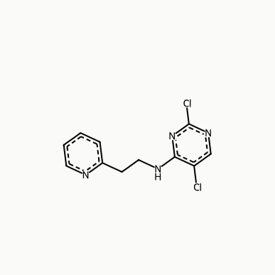 Clc1ncc(Cl)c(NCCc2ccccn2)n1